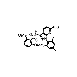 COc1cccc(OC)c1S(=O)(=O)Nc1nn(-c2c(C)cc(C)cc2C)c2nc(C(C)(C)C)ccc12